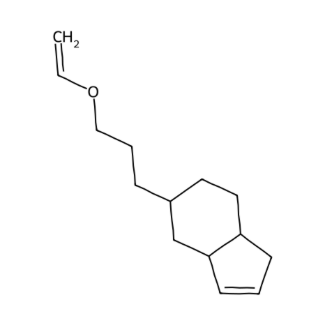 C=COCCCC1CCC2CC=CC2C1